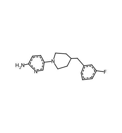 Nc1ccc(N2CCC(Cc3cccc(F)c3)CC2)cn1